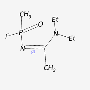 CCN(CC)/C(C)=N\P(C)(=O)F